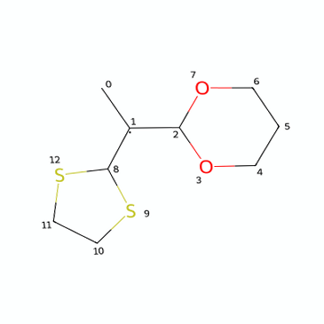 C[C](C1OCCCO1)C1SCCS1